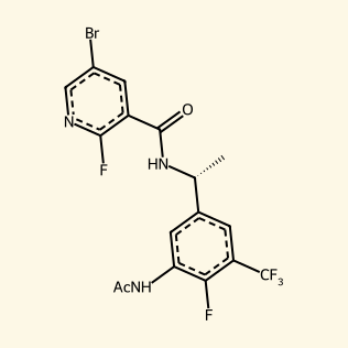 CC(=O)Nc1cc([C@@H](C)NC(=O)c2cc(Br)cnc2F)cc(C(F)(F)F)c1F